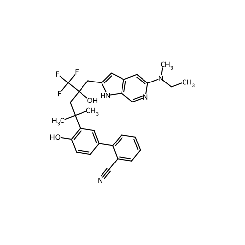 CCN(C)c1cc2cc(CC(O)(CC(C)(C)c3cc(-c4ccccc4C#N)ccc3O)C(F)(F)F)[nH]c2cn1